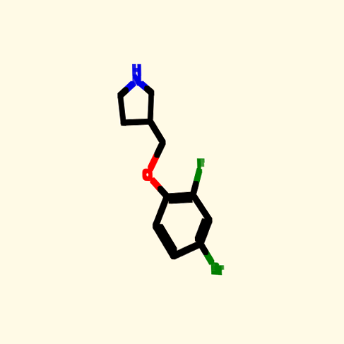 Fc1cc(Br)ccc1OCC1CCNC1